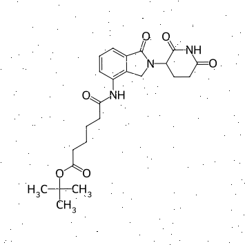 CC(C)(C)OC(=O)CCCCC(=O)Nc1cccc2c1CN(C1CCC(=O)NC1=O)C2=O